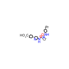 CC(C)c1ccc(NC(=O)N2CCC[C@H]2C(=O)Nc2ccc(-c3ccc(C(=O)O)cc3)nc2)cc1